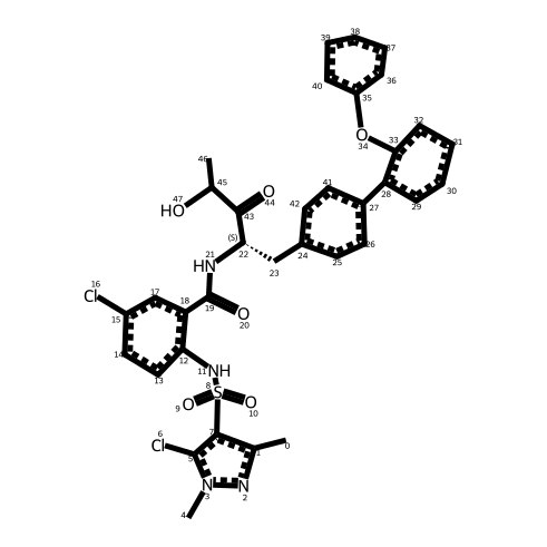 Cc1nn(C)c(Cl)c1S(=O)(=O)Nc1ccc(Cl)cc1C(=O)N[C@@H](Cc1ccc(-c2ccccc2Oc2ccccc2)cc1)C(=O)C(C)O